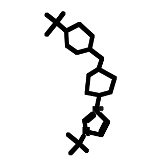 CC(C)(C)C1CCC(CC2CCC([n+]3ccn(C(C)(C)C)c3)CC2)CC1